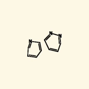 c1ccncc1.c1ccnnc1